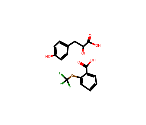 O=C(O)C(O)Cc1ccc(O)cc1.O=C(O)c1ccccc1SC(F)(F)F